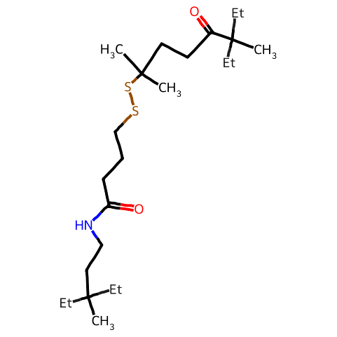 CCC(C)(CC)CCNC(=O)CCCSSC(C)(C)CCC(=O)C(C)(CC)CC